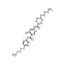 CCCCCc1ccc(OC(=O)c2ccc(OC(=O)C3CCC(CCCCC)CC3)cc2Cl)cc1